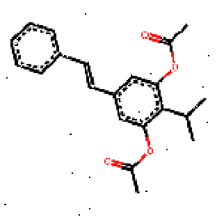 CC(=O)Oc1cc(C=Cc2ccccc2)cc(OC(C)=O)c1C(C)C